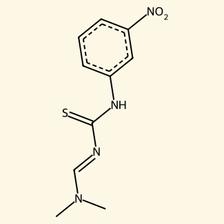 CN(C)/C=N/C(=S)Nc1cccc([N+](=O)[O-])c1